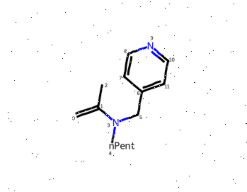 C=C(C)N(CCCCC)Cc1ccncc1